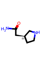 NC(=O)C[C@@H]1CCNC1